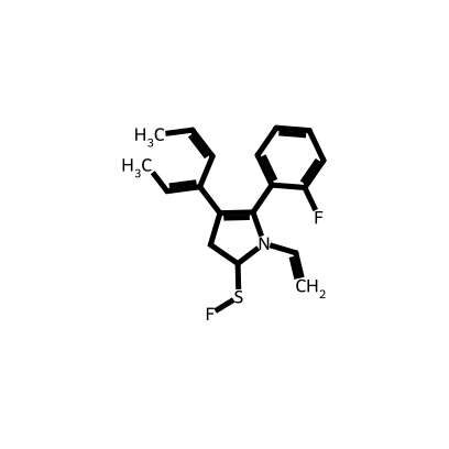 C=CN1C(c2ccccc2F)=C(C(/C=C\C)=C/C)CC1SF